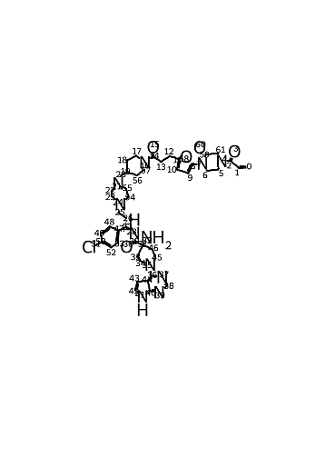 C=CC(=O)N1CCN(c2ccc(CCC(=O)N3CCC(CN4CCN(CC[C@H](NC(=O)C5(N)CCN(c6ncnc7[nH]ccc67)CC5)c5ccc(Cl)cc5)CC4)CC3)o2)C(=O)C1